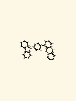 c1ccc2cc3c(-c4ccc(-n5c6ccccc6c6ccccc65)cc4)cccc3cc2c1